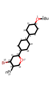 CCCCOC1CCC(C2CCC(C3CC(Br)C(CCC)CO3)CC2)CC1